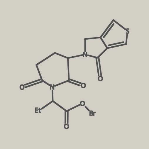 CCC(C(=O)OBr)N1C(=O)CCC(N2Cc3cscc3C2=O)C1=O